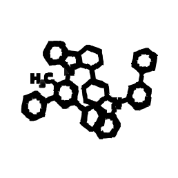 Cc1c(-c2ccccc2)cc(C2=CCCC=C2)cc1-n1c2c(c3ccccc31)C=CCC2C1=CC2C(CC1)c1ccccc1N2c1cccc(-c2ccccc2)c1